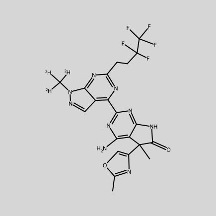 [2H]C([2H])([2H])n1ncc2c(-c3nc(N)c4c(n3)NC(=O)C4(C)c3coc(C)n3)nc(CCC(F)(F)C(F)(F)F)nc21